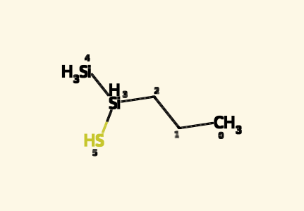 CCC[SiH]([SiH3])S